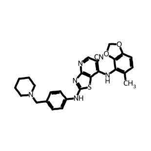 Cc1ccc2c(c1Nc1c(C#N)cnc3nc(Nc4ccc(CN5CCCCC5)cc4)sc13)OCO2